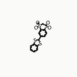 O=S1(=O)CS(=O)(=O)c2cc(C3Sc4ccccc4S3)ccc21